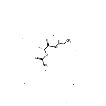 C[C@@H](OC(N)=O)C(=O)NNCC(F)(F)F